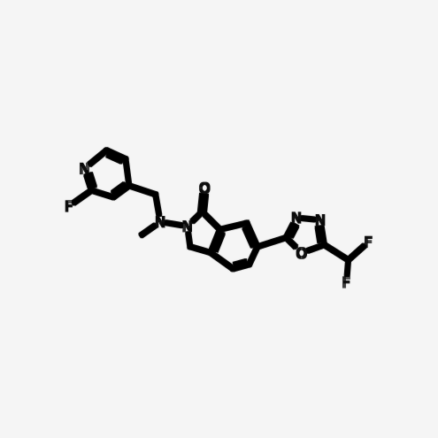 CN(Cc1ccnc(F)c1)N1Cc2ccc(-c3nnc(C(F)F)o3)cc2C1=O